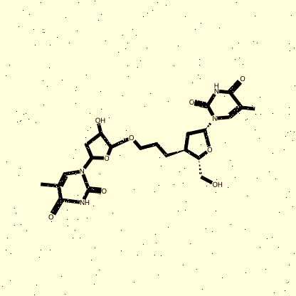 Cc1cn(C2CC(O)C(OCCC[C@H]3C[C@H](n4cc(C)c(=O)[nH]c4=O)O[C@@H]3CO)O2)c(=O)[nH]c1=O